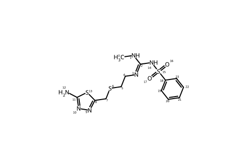 CNC(=NCCSCc1nnc(N)s1)NS(=O)(=O)c1ccccc1